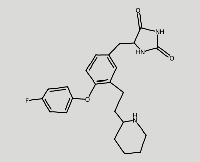 O=C1NC(=O)C(Cc2ccc(Oc3ccc(F)cc3)c(CCC3CCCCN3)c2)N1